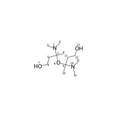 CN(C)C(C)(CCO)OC(C)(CCO)N(C)C